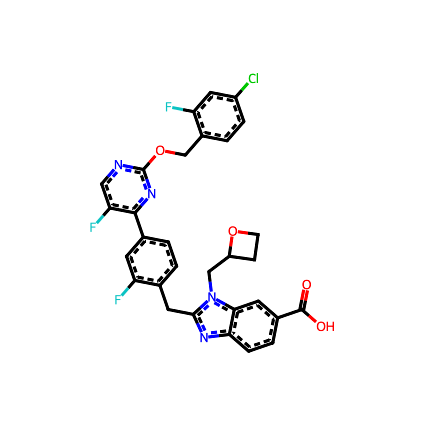 O=C(O)c1ccc2nc(Cc3ccc(-c4nc(OCc5ccc(Cl)cc5F)ncc4F)cc3F)n(CC3CCO3)c2c1